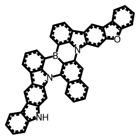 c1ccc2c3c4c(cc2c1)-n1c2cc5oc6ccccc6c5cc2c2cccc(c21)B4c1cccc2c4cc5c(cc4n-3c12)[nH]c1ccccc15